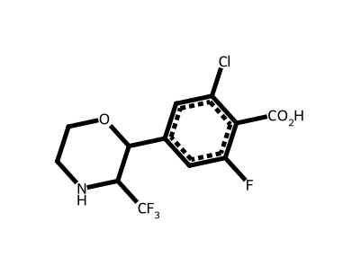 O=C(O)c1c(F)cc(C2OCCNC2C(F)(F)F)cc1Cl